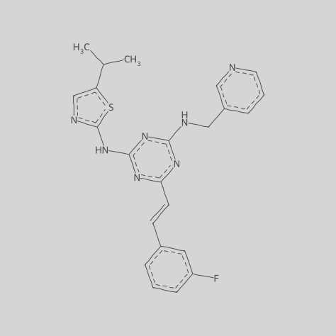 CC(C)c1cnc(Nc2nc(/C=C/c3cccc(F)c3)nc(NCc3cccnc3)n2)s1